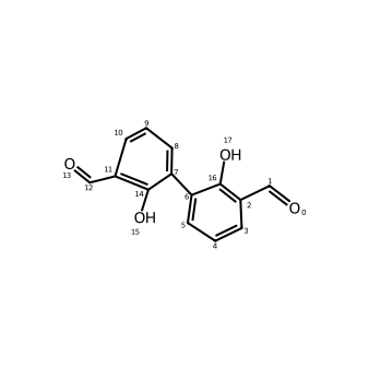 O=Cc1cccc(-c2cccc(C=O)c2O)c1O